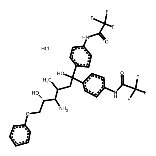 CC(CC(O)(c1ccc(NC(=O)C(F)(F)F)cc1)c1ccc(NC(=O)C(F)(F)F)cc1)C(N)[C@@H](O)COc1ccccc1.Cl